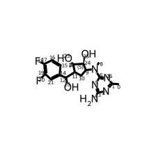 Cc1nc(N)nc(N(C)C2CC(C(O)c3ccc(F)c(F)c3)[C@@H](O)[C@H]2O)n1